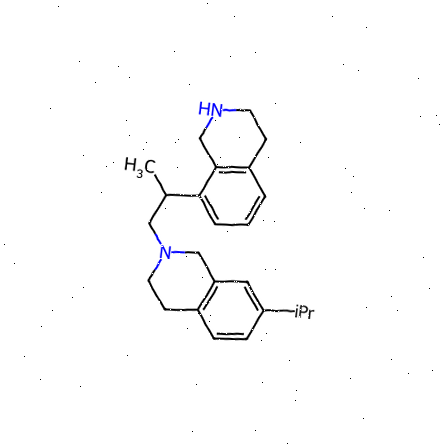 CC(C)c1ccc2c(c1)CN(CC(C)c1cccc3c1CNCC3)CC2